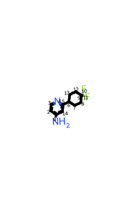 Nc1ccnc(C2CCC(F)(F)CC2)c1